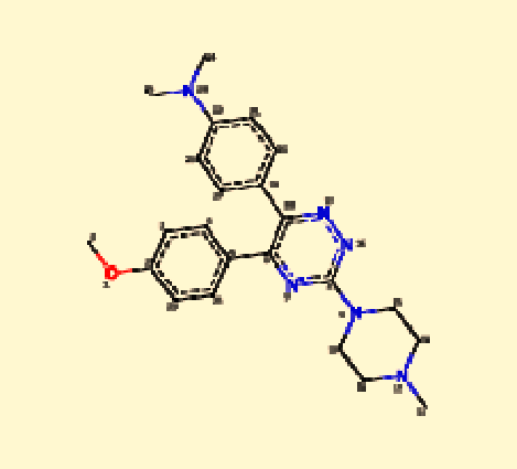 COc1ccc(-c2nc(N3CCN(C)CC3)nnc2-c2ccc(N(C)C)cc2)cc1